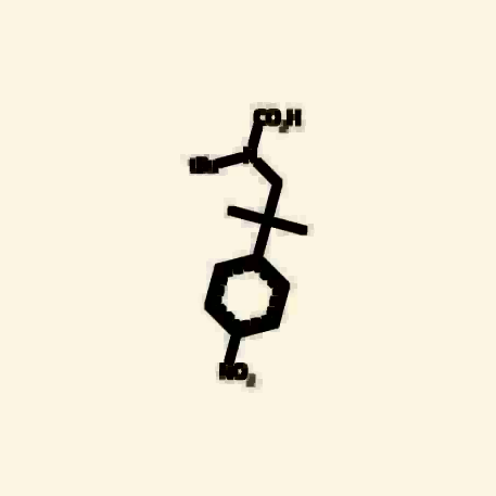 CC(C)(CN(C(=O)O)C(C)(C)C)c1ccc([N+](=O)[O-])cc1